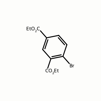 CCOC(=O)c1ccc(Br)c(C(=O)OCC)c1